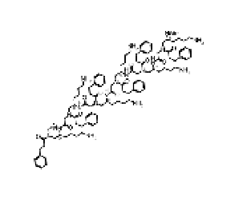 CN[C@@H](CCCCN)CN(CC(=O)N[C@@H](CCCCN)CN(CC(=O)N[C@@H](CCCCN)CN(CC(=O)N[C@@H](CCCCN)CN(CC(=O)N[C@@H](CCCCN)CN(CC(=O)N[C@@H](CCCCN)CN(CC(C)=O)C(=O)CCc1ccccc1)C(=O)CCc1ccccc1)C(=O)CCc1ccccc1)C(=O)CCc1ccccc1)C(=O)CCc1ccccc1)C(=O)CCc1ccccc1